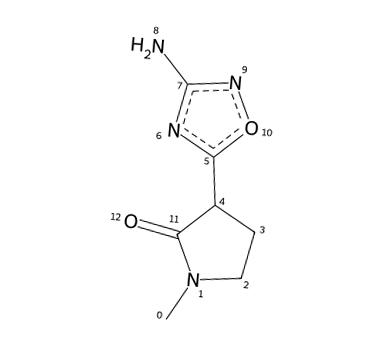 CN1CCC(c2nc(N)no2)C1=O